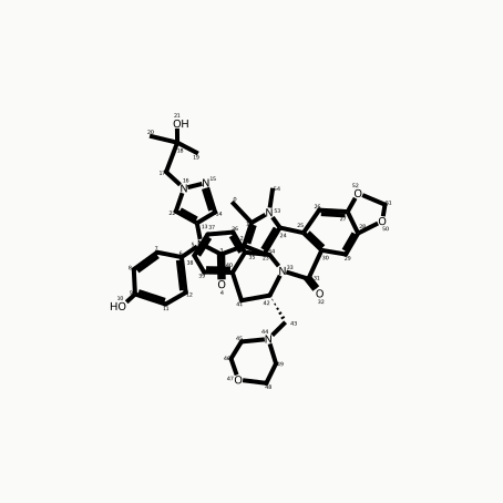 Cc1c(C(=O)N(c2ccc(O)cc2)c2cnn(CC(C)(C)O)c2)cc(-c2cc3c(cc2C(=O)N2Cc4ccccc4C[C@H]2CN2CCOCC2)OCO3)n1C